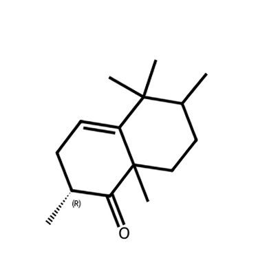 CC1CCC2(C)C(=O)[C@H](C)CC=C2C1(C)C